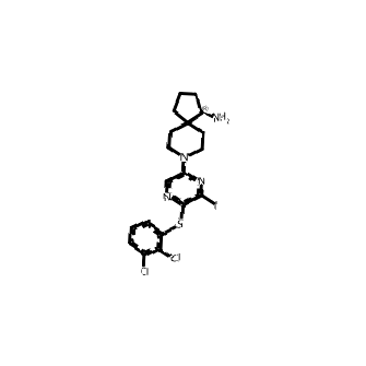 N[C@@H]1CCCC12CCN(c1cnc(Sc3cccc(Cl)c3Cl)c(I)n1)CC2